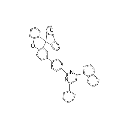 c1ccc(-c2cc(-c3cccc4ccccc34)nc(-c3ccc(-c4ccc5c(c4)C4(c6ccccc6O5)c5ccccc5-c5ccccc54)cc3)n2)cc1